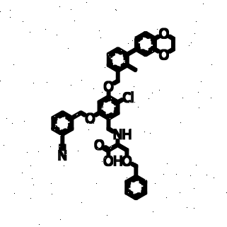 Cc1c(COc2cc(OCc3cccc(C#N)c3)c(CNC(COCc3ccccc3)C(=O)O)cc2Cl)cccc1-c1ccc2c(c1)OCCO2